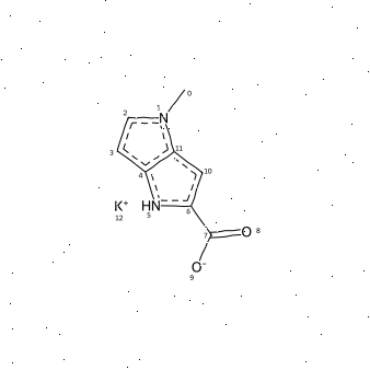 Cn1ccc2[nH]c(C(=O)[O-])cc21.[K+]